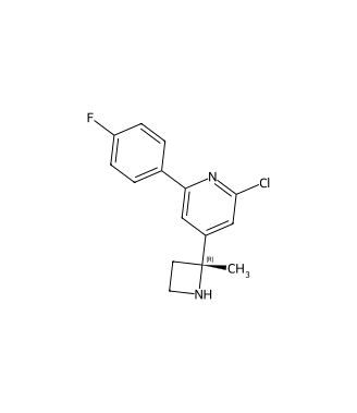 C[C@]1(c2cc(Cl)nc(-c3ccc(F)cc3)c2)CCN1